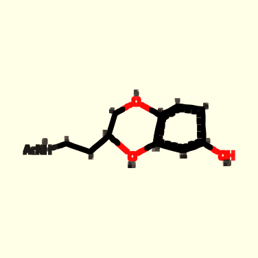 CC(=O)NCCC1COc2ccc(O)cc2O1